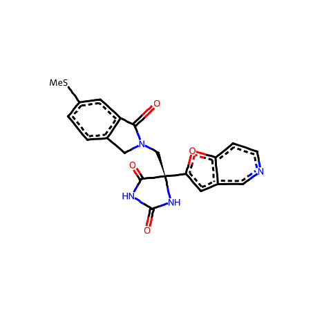 CSc1ccc2c(c1)C(=O)N(C[C@@]1(c3cc4cnccc4o3)NC(=O)NC1=O)C2